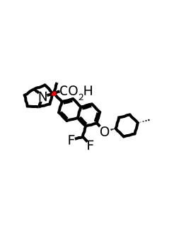 CC(c1ccc2c(C(F)F)c(O[C@H]3CC[C@@H](C)CC3)ccc2c1)N1C2CCC1CC(C(=O)O)C2